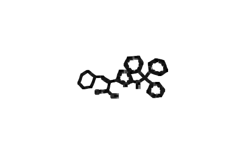 O=C(O)C(=CC1CCCCC1)c1csc(NC(c2ccccc2)(c2ccccc2)c2ccccc2)n1